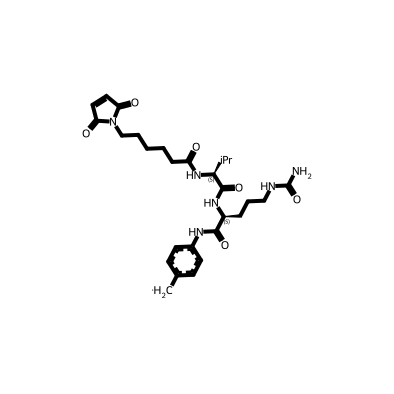 [CH2]c1ccc(NC(=O)[C@H](CCCNC(N)=O)NC(=O)[C@@H](NC(=O)CCCCCN2C(=O)C=CC2=O)C(C)C)cc1